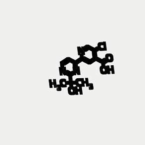 CC(C)(O)c1nccc(-c2cc(C(=O)O)c(Cl)cn2)n1